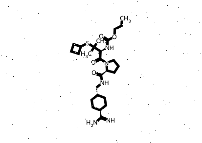 CCCOC(=O)N[C@@H](C(=O)N1CCC[C@H]1C(=O)NC[C@H]1CC[C@H](C(=N)N)CC1)C(C)(C)SC1CCC1